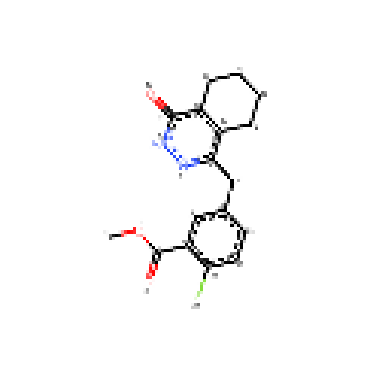 COC(=O)c1cc(Cc2n[nH]c(=O)c3c2CCCC3)ccc1F